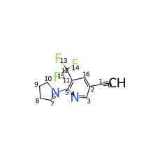 C#Cc1cnc(N2CCCC2)c(C(F)(F)F)c1